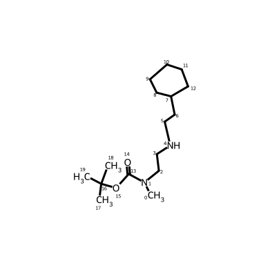 CN(CCNCCC1CCCCC1)C(=O)OC(C)(C)C